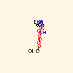 CCn1nnc2c1-c1ccccc1CN(C(=O)CCC(=O)NCCOCCOCCOCCOCCCC(C)(C)C=O)c1ccccc1-2